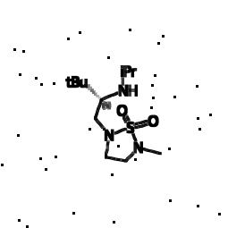 CC(C)N[C@H](CN1CCN(C)S1(=O)=O)C(C)(C)C